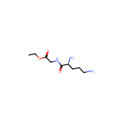 CCOC(=O)CNC(=O)[C@@H](N)CCCN